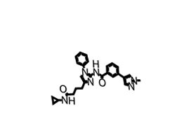 Cn1cc(-c2cccc(C(=O)Nc3nc(CCCC(=O)NC4CC4)cn3-c3ccccc3)c2)cn1